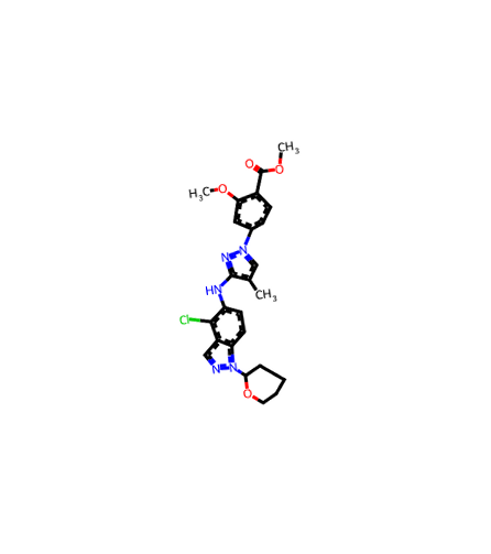 COC(=O)c1ccc(-n2cc(C)c(Nc3ccc4c(cnn4C4CCCCO4)c3Cl)n2)cc1OC